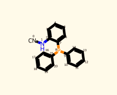 [C-]#[N+]Nc1ccccc1P(c1ccccc1)c1ccccc1